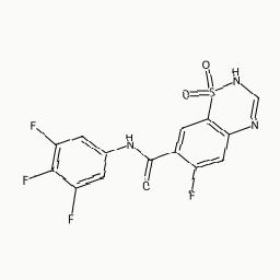 O=C(Nc1cc(F)c(F)c(F)c1)c1cc2c(cc1F)N=CNS2(=O)=O